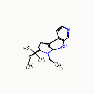 CCN1C2Nc3cnccc3C2CC1C(C)(C)CC